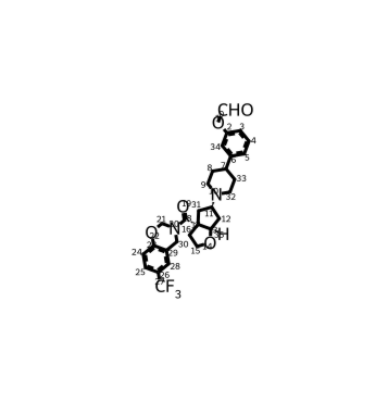 O=COc1cccc(C2CCN([C@@H]3C[C@H]4OCC[C@@]4(C(=O)N4COc5ccc(C(F)(F)F)cc5C4)C3)CC2)c1